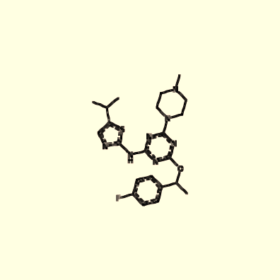 CC(C)c1cnc(Nc2nc(OC(C)c3ccc(F)cc3)nc(N3CCN(C)CC3)n2)s1